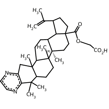 C=C(C)C1CCC2(C(=O)OCC(=O)O)CC[C@]3(C)C(CCC4C5(C)Cc6nccnc6C(C)(C)C5CCC43C)C12